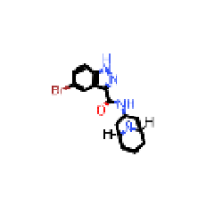 CN1[C@@H]2CCC[C@H]1C[C@@H](NC(=O)c1n[nH]c3ccc(Br)cc13)C2